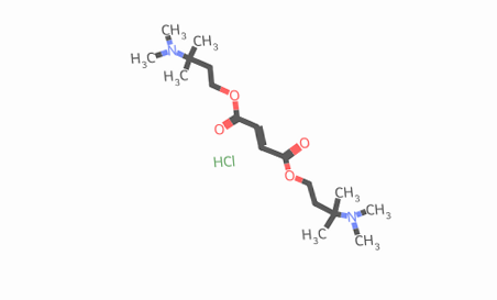 CN(C)C(C)(C)CCOC(=O)/C=C/C(=O)OCCC(C)(C)N(C)C.Cl